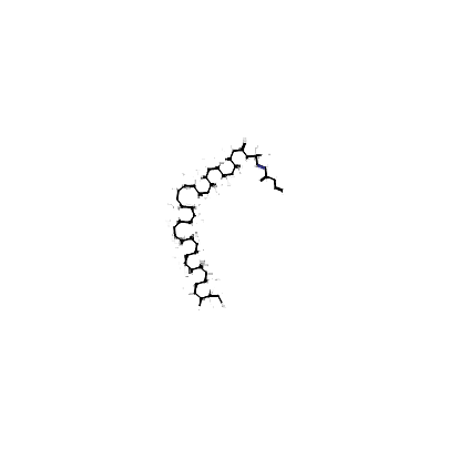 C=CCC(=C)/C=C/[C@@](C)(O)C1O[C@]2(C)C[C@]3(C)O[C@]4(C)C[C@]5(C)O[C@]6(C)C[C@]7(C)O[C@]8(C)C[C@]9(C)O[C@]%10(C)C[C@]%11(C)O[C@](C)(CC)C(C)C[C@@]%11(C)O[C@@]%10(C)C[C@@]9(C)O[C@@]8(C)CC[C@@]7(C)O[C@@]6(C)CC[C@H](C)[C@@]5(C)O[C@@]4(C)[C@@H](O)[C@@]3(C)O[C@@]2(C)CC1=C